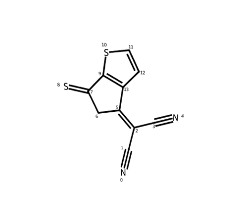 N#CC(C#N)=C1CC(=S)c2sccc21